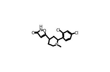 CN1CCC(c2cc(=O)[nH]o2)CC1c1ccc(Cl)cc1Cl